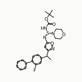 CC(c1ccc(-c2ccccc2)c(F)c1)c1cc(N=S(NC(=O)OC(C)(C)C)N2CCOCC2)on1